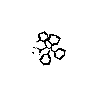 NC(=O)C(c1ccccc1O)[P+](c1ccccc1)(c1ccccc1)c1ccccc1.[Cl-]